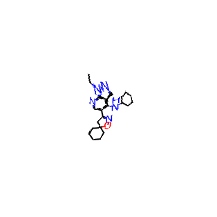 CCn1ncc2c(NC3CCCCC3)c(C3=NOC4(CCCCC4)C3)cnc21